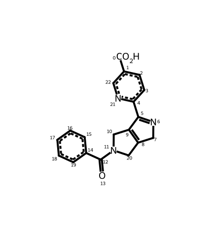 O=C(O)c1ccc(C2=NCC3=C2CN(C(=O)c2ccccc2)C3)nc1